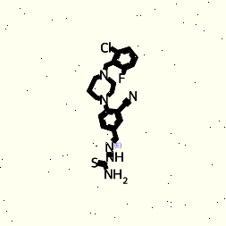 N#Cc1cc(/C=N/NC(N)=S)ccc1N1CCCN(Cc2c(F)cccc2Cl)CC1